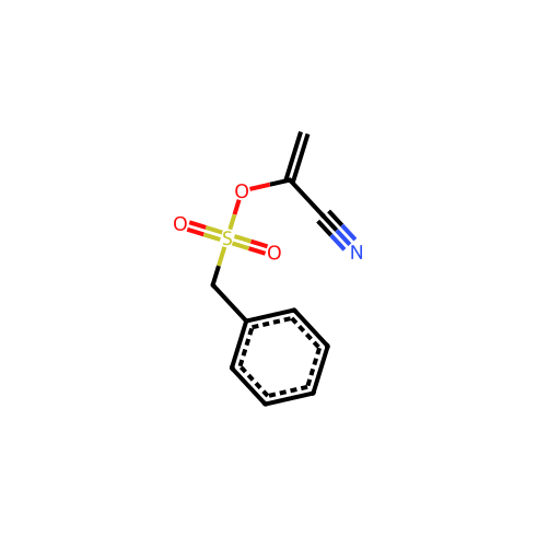 C=C(C#N)OS(=O)(=O)Cc1ccccc1